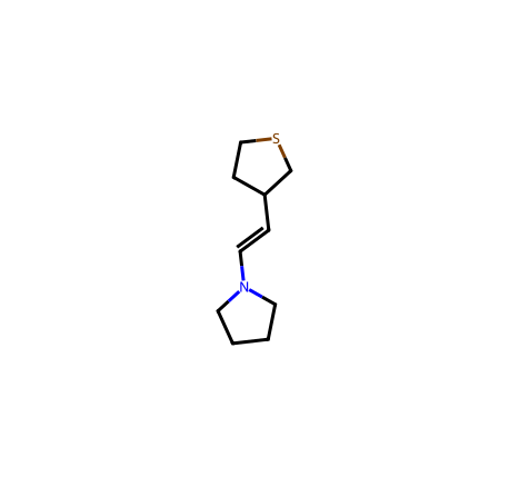 C(=C\N1CCCC1)/C1CCSC1